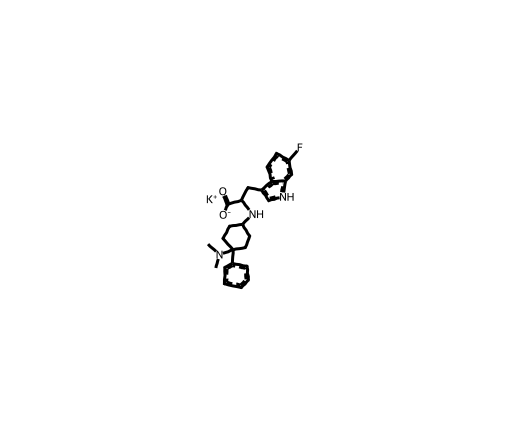 CN(C)C1(c2ccccc2)CCC(NC(Cc2c[nH]c3cc(F)ccc23)C(=O)[O-])CC1.[K+]